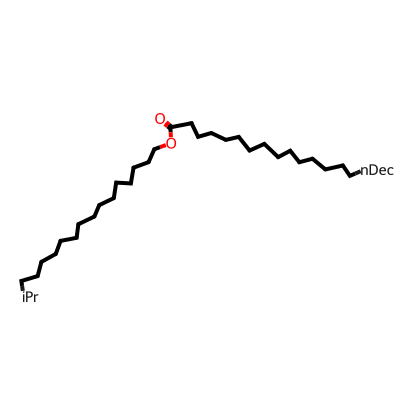 CCCCCCCCCCCCCCCCCCCCCCCCC(=O)OCCCCCCCCCCCCCCCC(C)C